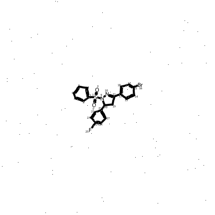 O=S(=O)(c1ccccc1)N1N=C(c2ccc(Br)cc2)CC1c1ccc(F)cc1